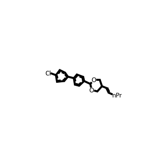 CCC/C=C/C1COC(c2ccc(-c3ccc(Cl)cc3)cc2)OC1